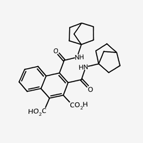 O=C(O)c1c(C(=O)NC23CCC(CC2)C3)c(C(=O)NC23CCC(CC2)C3)c2ccccc2c1C(=O)O